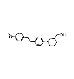 COc1ccc(CCc2ccc(N3CCCC(CO)C3)cc2)cc1